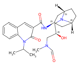 CC(C)n1c(=O)c(C(=O)N[C@@H]2C[C@H]3CC[C@@H](C2)N3C[C@@H](O)CN(C)C=O)cc2ccccc21